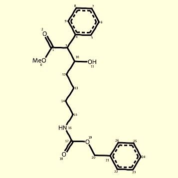 COC(=O)C(c1ccccc1)C(O)CCCCNC(=O)OCc1ccccc1